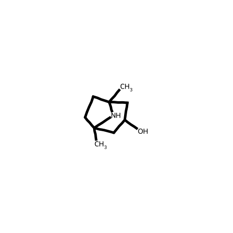 CC12CCC(C)(CC(O)C1)N2